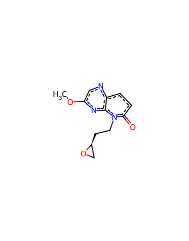 COc1cnc2ccc(=O)n(CC[C@H]3CO3)c2n1